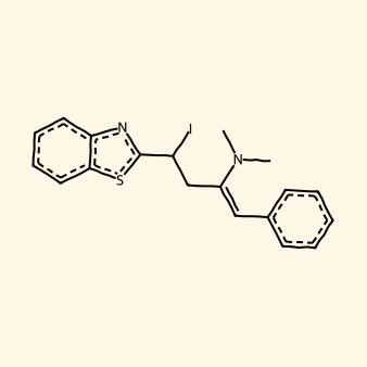 CN(C)C(=Cc1ccccc1)CC(I)c1nc2ccccc2s1